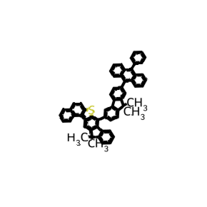 CC1(C)c2ccc(-c3c4c(cc5c3sc3ccc6ccccc6c35)C(C)(C)c3ccccc3-4)cc2-c2ccc(-c3c4ccccc4c(-c4ccccc4)c4ccccc34)cc21